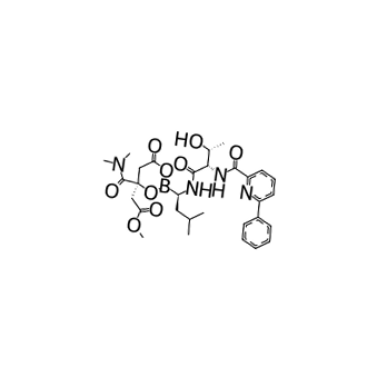 COC(=O)C[C@]1(C(=O)N(C)C)CC(=O)OB([C@H](CC(C)C)NC(=O)[C@@H](NC(=O)c2cccc(-c3ccccc3)n2)[C@@H](C)O)O1